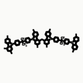 Cc1ccc2c3ccc(C)cc3n(-c3ccc(C(c4ccc(-n5c6cc(C)ccc6c6c(Cc7cc(C)cc8c7c7ccc(C)cc7n8-c7ccc(C(c8ccc(-n9c%10cc(C)ccc%10c%10c(C)cc(C)cc%109)cc8)(C(F)(F)F)C(F)(F)F)cc7)cc(C)cc65)cc4)(C(F)(F)F)C(F)(F)F)cc3)c2c1